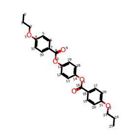 CCCOc1ccc(C(=O)Oc2ccc(OC(=O)c3ccc(OCCC)cc3)cc2)cc1